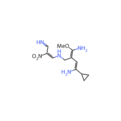 CO/C(N)=C(/C=C(\N)C1CC1)CN/C=C(\C=N)[N+](=O)[O-]